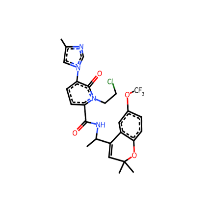 Cc1cn(-c2ccc(C(=O)NC(C)C3=CC(C)(C)Oc4ccc(OC(F)(F)F)cc43)n(CCCl)c2=O)cn1